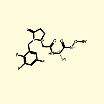 CC(C)ONC(=O)[C@@H](NC(=O)C[C@@H]1CCC(=S)N1Cc1cc(F)cc(F)c1F)C(C)C